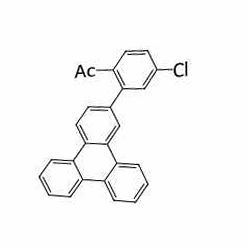 CC(=O)c1ccc(Cl)cc1-c1ccc2c3ccccc3c3ccccc3c2c1